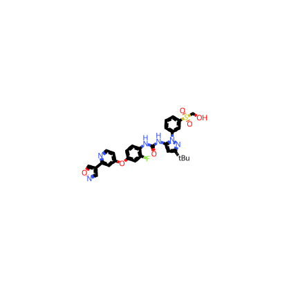 CC(C)(C)c1cc(NC(=O)Nc2ccc(Oc3ccnc(-c4cnoc4)c3)cc2F)n(-c2cccc(S(=O)(=O)CO)c2)n1